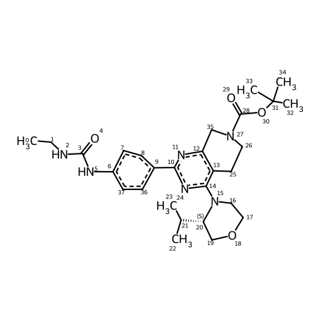 CCNC(=O)Nc1ccc(-c2nc3c(c(N4CCOC[C@@H]4C(C)C)n2)CCN(C(=O)OC(C)(C)C)C3)cc1